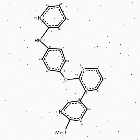 COc1ncc(-c2cccnc2Oc2ccc(Nc3ccccn3)cc2)cn1